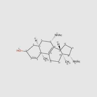 CC(=O)N[C@H]1C[C@@H]2CC(O)C=C[C@]2(C)C2=C1[C@@H]1CC[C@H](NC(C)=O)[C@@]1(C)CC2